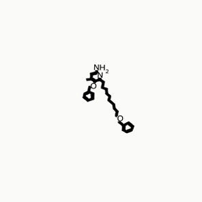 Cc1cc(N)nc(CCCCCCCCCCOCc2ccccc2)c1OCc1ccccc1